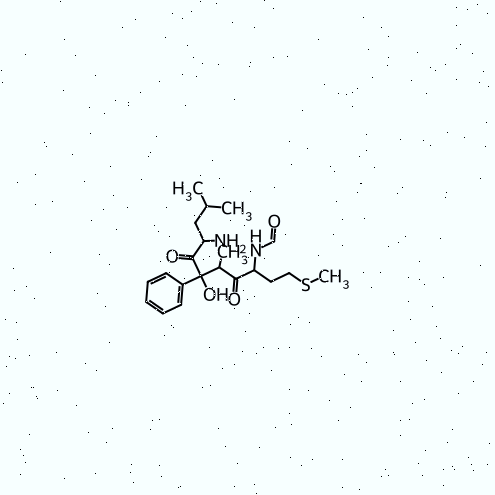 CSCCC(NC=O)C(=O)C(C)C(O)(C(=O)C(N)CC(C)C)c1ccccc1